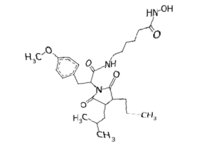 CCCC1C(=O)N(C(Cc2ccc(OC)cc2)C(=O)NCCCCCC(=O)NO)C(=O)C1CC(C)C